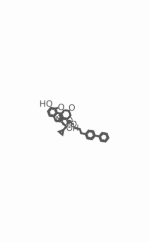 O=C1CCC2(OP(=O)(O)OCCCc3ccc(-c4ccccc4)cc3)C3Cc4ccc(O)c5c4C2(CCN3CC2CC2)C1O5